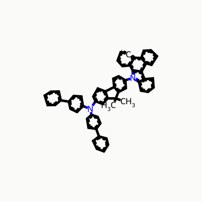 CC1(C)c2cc(N(c3ccc(-c4ccccc4)cc3)c3ccc(-c4ccccc4)cc3)ccc2-c2ccc(-n3c4ccccc4c4c5ccccc5c5ccccc5c43)cc21